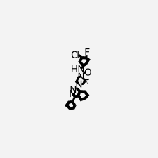 C[C@H]1CN(c2nnc(-c3ccccc3)c3ccccc23)CCN1C(=O)Nc1ccc(F)c(Cl)c1